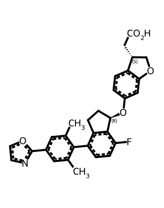 Cc1cc(-c2ncco2)cc(C)c1-c1ccc(F)c2c1CC[C@H]2Oc1ccc2c(c1)OC[C@H]2CC(=O)O